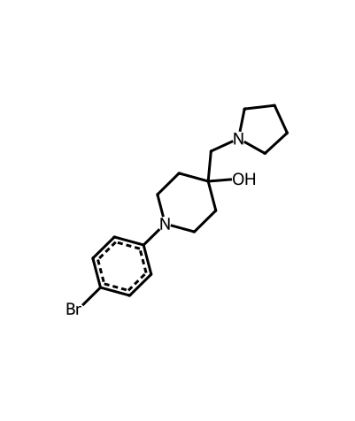 OC1(CN2CCCC2)CCN(c2ccc(Br)cc2)CC1